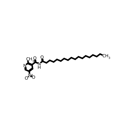 CCCCCCCCCCCCCCCCCC(=O)NC(=O)c1cc([N+](=O)[O-])cnc1C